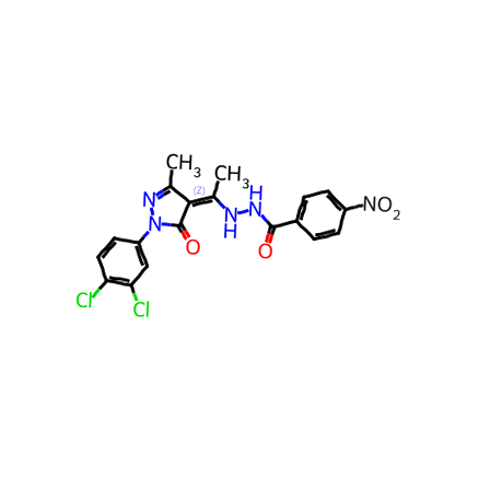 CC1=NN(c2ccc(Cl)c(Cl)c2)C(=O)/C1=C(/C)NNC(=O)c1ccc([N+](=O)[O-])cc1